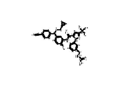 N#Cc1ccc(C(OCC2CC2)c2ccc(F)c(NC(=O)c3cc(C(F)(F)F)nn3-c3cccc(CNC(=O)O)c3)c2)cc1